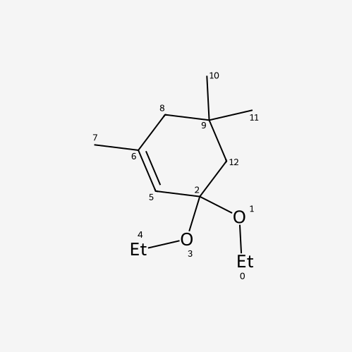 CCOC1(OCC)C=C(C)CC(C)(C)C1